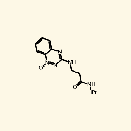 CC(C)NC(=O)CCNc1nc2ccccc2[n+]([O-])n1